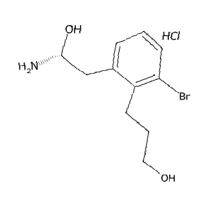 Cl.N[C@H](O)Cc1cccc(Br)c1CCCO